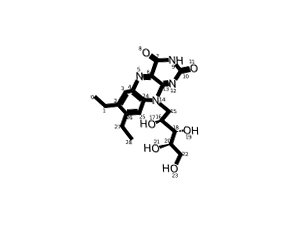 CCc1cc2nc3c(=O)[nH]c(=O)nc-3n(C[C@H](O)[C@H](O)[C@H](O)CO)c2cc1CC